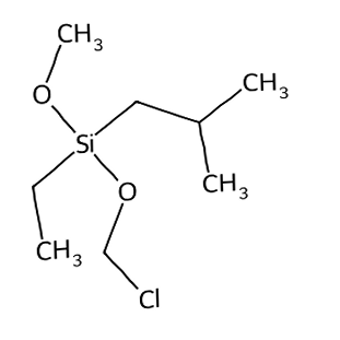 CC[Si](CC(C)C)(OC)OCCl